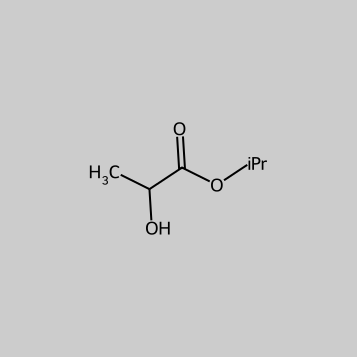 [CH2]C(C)OC(=O)C(C)O